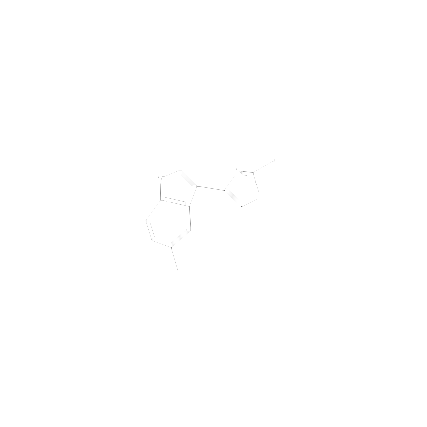 [2H]c1nc(-c2c[nH]c3ccc(C)cc23)cs1